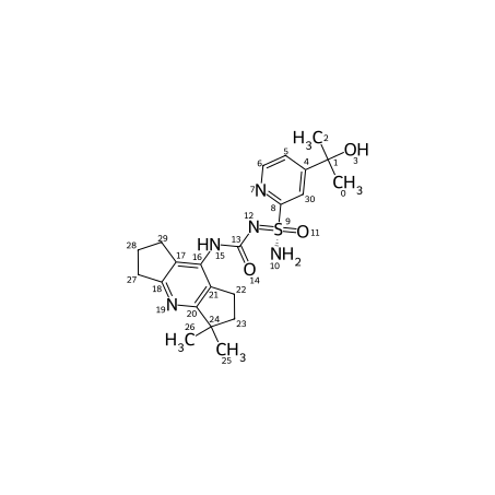 CC(C)(O)c1ccnc([S@@](N)(=O)=NC(=O)Nc2c3c(nc4c2CCC4(C)C)CCC3)c1